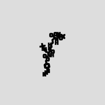 CC(C)(C)OC(=O)N[C@@H](CCCCNC(=O)[C@H](CSSC(C)(C)C)NC(=O)OCc1ccc(N=[N+]=[N-])cc1)C(=O)O